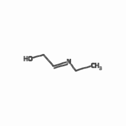 CCN=CCO